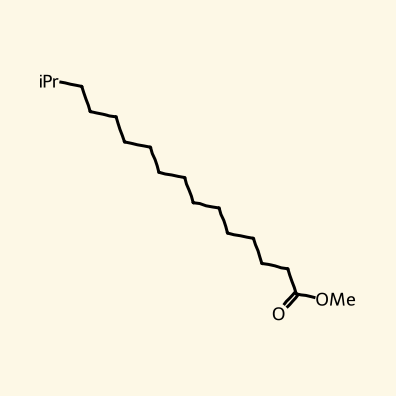 COC(=O)CCCCCCCCCCCCCC(C)C